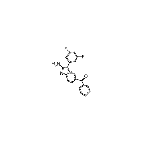 Nc1nc2ccc(C(=O)c3ccccc3)cn2c1-c1cc(F)cc(F)c1